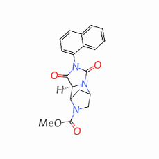 COC(=O)N1CC2CC1[C@H]1C(=O)N(c3cccc4ccccc34)C(=O)N21